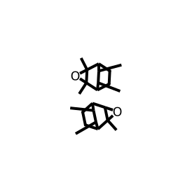 CC1C(C)C2CCC1C1(C)OC21C.CC1C(C)C2CCC1C1OC21C